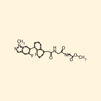 COC(=O)CNC(=O)CNC(=O)Cc1ccnc2c(-c3cc4c(cnn4C)cc3F)cccc12